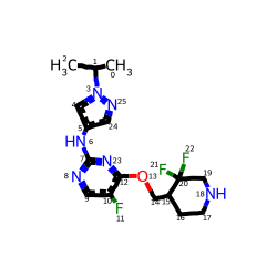 CC(C)n1cc(Nc2ncc(F)c(OCC3CCNCC3(F)F)n2)cn1